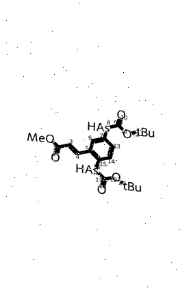 COC(=O)C=Cc1cc([AsH]C(=O)OC(C)(C)C)ccc1[AsH]C(=O)OC(C)(C)C